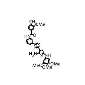 COc1cc(C(=O)Nc2cccc(-c3csc(-c4sc(Nc5cc(OC)c(OC)c(OC)c5)nc4N)n3)c2)ccc1C